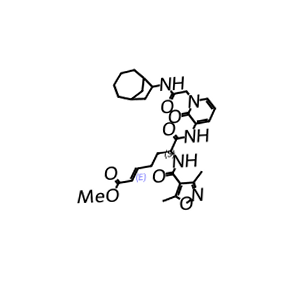 COC(=O)/C=C/CC[C@H](NC(=O)c1c(C)noc1C)C(=O)Nc1cccn(CC(=O)NC2CC3CCCCC2C3)c1=O